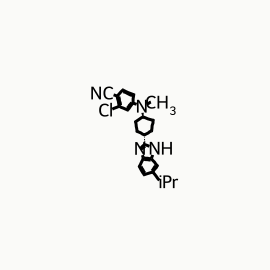 CC(C)c1ccc2nc([C@H]3CC[C@H](N(C)c4ccc(C#N)c(Cl)c4)CC3)[nH]c2c1